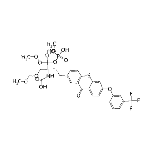 COCOCC(CCc1ccc2sc3cc(Oc4cccc(C(F)(F)F)c4)ccc3c(=O)c2c1)(NC(=O)O)C(OOC)(OOC)OP(=O)(O)O